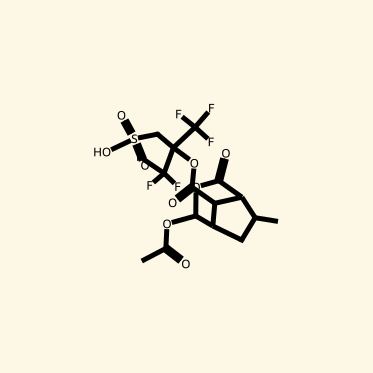 CC(=O)OC1OC(=O)C2C(C)CC1C2C(=O)OC(CS(=O)(=O)O)(C(F)(F)F)C(F)(F)F